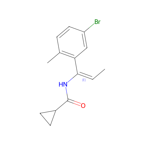 C/C=C(/NC(=O)C1CC1)c1cc(Br)ccc1C